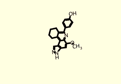 COc1cc2[nH]ncc2c2c3c(c(-c4ccc(O)cc4)nc12)CCCC3